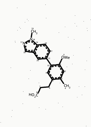 COc1cc(C)c(CCC(=O)O)cc1-c1ccc2c(cnn2C)c1